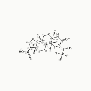 C[C@]12C[C@@H]([S+]([O-])C(F)(F)F)C(=O)N[C@@H]1CC[C@@H]1[C@@H]2CC[C@]2(C)[C@@H](C(=O)O)CC[C@@H]12